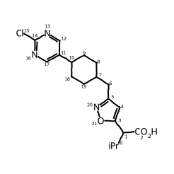 CC(C)C(C(=O)O)c1cc(CC2CCC(c3cnc(Cl)nc3)CC2)no1